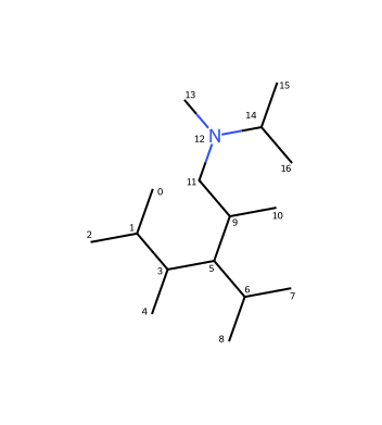 CC(C)C(C)C(C(C)C)C(C)CN(C)C(C)C